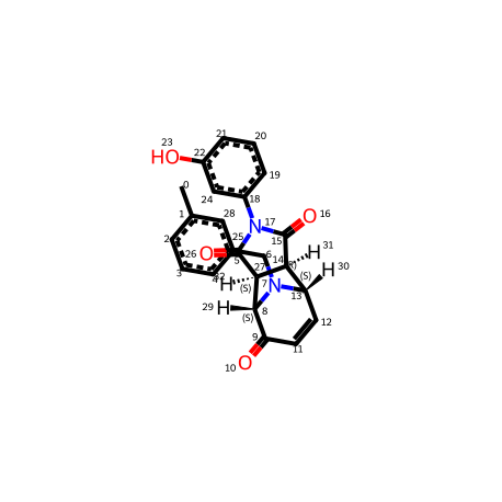 Cc1cccc(CN2[C@@H]3C(=O)C=C[C@H]2[C@@H]2C(=O)N(c4cccc(O)c4)C(=O)[C@@H]23)c1